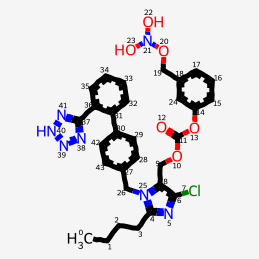 CCCCc1nc(Cl)c(COC(=O)Oc2cccc(CON(O)O)c2)n1Cc1ccc(-c2ccccc2-c2nn[nH]n2)cc1